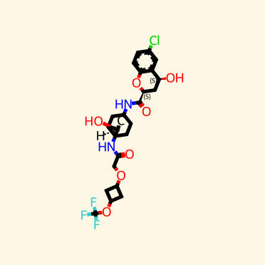 O=C(COC1CC(OC(F)(F)F)C1)NC12CCC(NC(=O)[C@@H]3C[C@H](O)c4cc(Cl)ccc4O3)(CC1)C[C@@H]2O